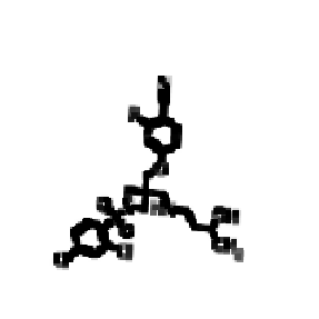 CC(O)CCNCC1(COc2ccc(C#N)c(F)c2)CN(S(=O)(=O)c2ccc(Cl)cc2Cl)C1